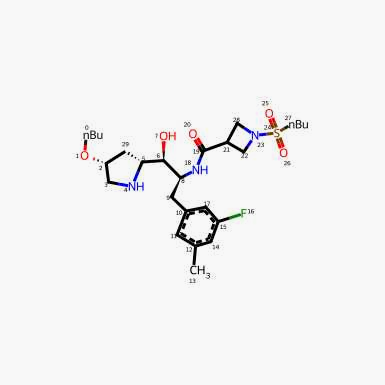 CCCCO[C@H]1CN[C@@H]([C@@H](O)[C@H](Cc2cc(C)cc(F)c2)NC(=O)C2CN(S(=O)(=O)CCCC)C2)C1